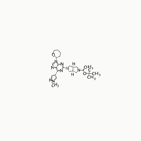 Cn1cc(-c2nc(N3C[C@H]4CN(C(=O)OC(C)(C)C)C[C@H]4C3)nc3c2ncn3C2CCCCO2)cn1